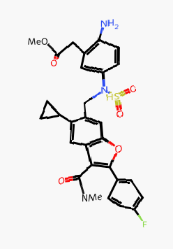 CNC(=O)c1c(-c2ccc(F)cc2)oc2cc(CN(c3ccc(N)c(CC(=O)OC)c3)[SH](=O)=O)c(C3CC3)cc12